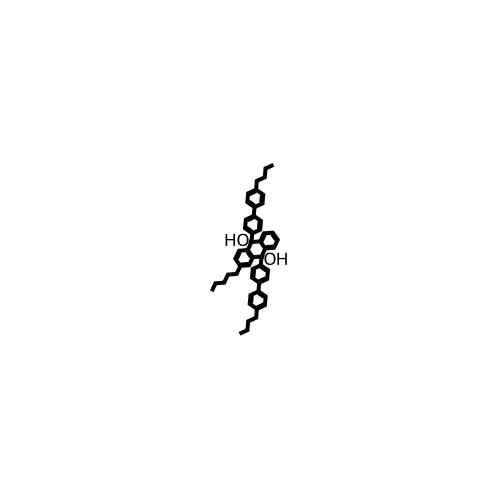 CCCCCc1ccc2c(c1)C(O)(c1ccc(-c3ccc(CCCC)cc3)cc1)c1ccccc1C2(O)c1ccc(-c2ccc(CCCC)cc2)cc1